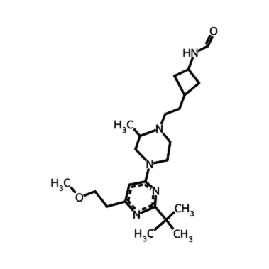 COCCc1cc(N2CCN(CCC3CC(NC=O)C3)C(C)C2)nc(C(C)(C)C)n1